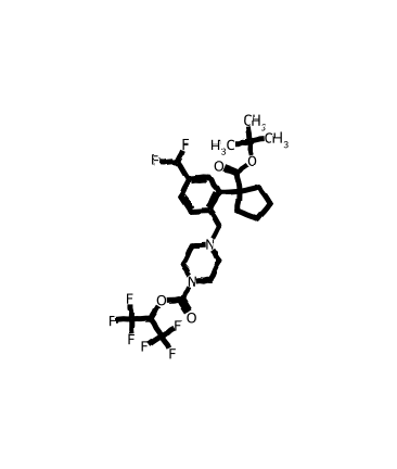 CC(C)(C)OC(=O)C1(c2cc(C(F)F)ccc2CN2CCN(C(=O)OC(C(F)(F)F)C(F)(F)F)CC2)CCCC1